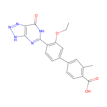 CCOc1cc(-c2ccc(C(=O)O)c(C)c2)ccc1-c1nc2[nH]nnc2c(=O)[nH]1